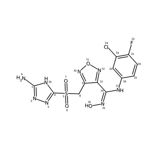 Nc1nnc(S(=O)(=O)Cc2nonc2/C(=N\O)Nc2ccc(F)c(Cl)c2)[nH]1